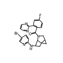 O=C(c1ccc(F)cc1-c1ncccn1)N1CC2CC23CC(Nc2ccc(Br)cn2)C13